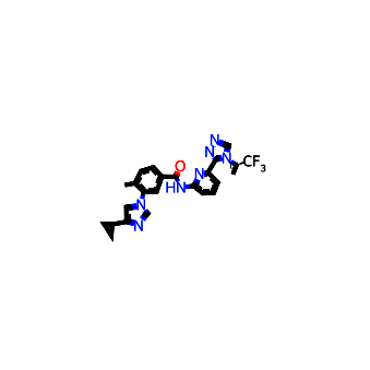 Cc1ccc(C(=O)Nc2cccc(-c3nncn3[C@@H](C)C(F)(F)F)n2)cc1-n1cnc(C2CC2)c1